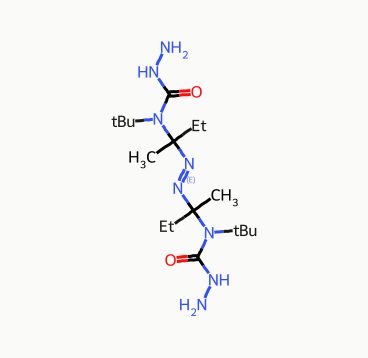 CCC(C)(/N=N/C(C)(CC)N(C(=O)NN)C(C)(C)C)N(C(=O)NN)C(C)(C)C